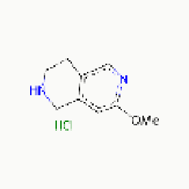 COc1cc2c(cn1)CCNC2.Cl